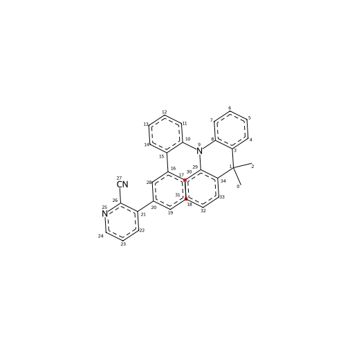 CC1(C)c2ccccc2N(c2ccccc2-c2cccc(-c3cccnc3C#N)c2)c2ccccc21